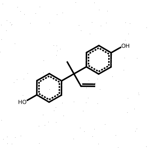 C=CC(C)(c1ccc(O)cc1)c1ccc(O)cc1